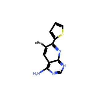 CCCCc1cc2c(N)ncnc2nc1-c1cccs1